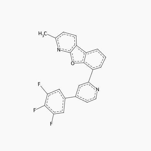 Cc1ccc2c(n1)oc1c(-c3cc(-c4cc(F)c(F)c(F)c4)ccn3)cccc12